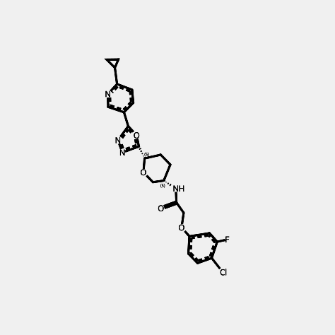 O=C(COc1ccc(Cl)c(F)c1)N[C@H]1CC[C@@H](c2nnc(-c3ccc(C4CC4)nc3)o2)OC1